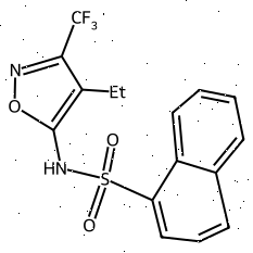 CCc1c(C(F)(F)F)noc1NS(=O)(=O)c1cccc2ccccc12